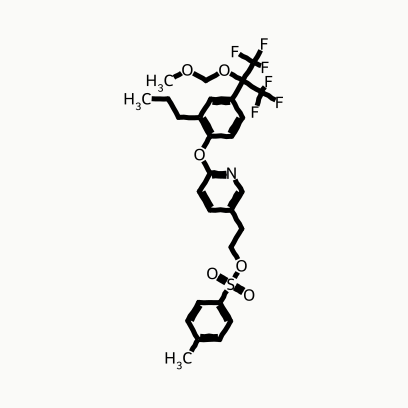 CCCc1cc(C(OCOC)(C(F)(F)F)C(F)(F)F)ccc1Oc1ccc(CCOS(=O)(=O)c2ccc(C)cc2)cn1